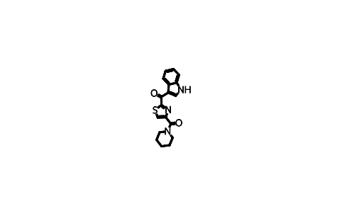 O=C(c1nc(C(=O)N2CCCCC2)cs1)c1c[nH]c2ccccc12